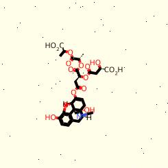 C[C@H](OC(=O)[C@H](C)OC(=O)[C@H](CC(=O)OC1=CC[C@@]2(O)[C@H]3Cc4ccc(O)c5c4[C@@]2(CCN3C)[C@H]1O5)OC(=O)C[C@H](O)C(=O)O)C(=O)O